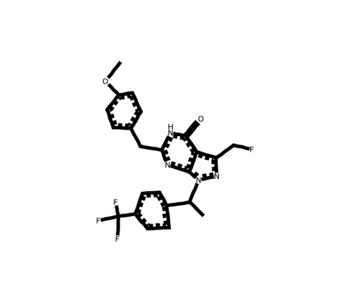 COc1ccc(Cc2nc3c(c(CF)nn3C(C)c3ccc(C(F)(F)F)cc3)c(=O)[nH]2)cc1